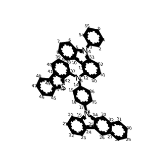 c1ccc(-n2c3ccccc3c3c(N(c4ccc(-n5c6ccccc6c6cc7ccccc7cc65)cc4)c4cccc5c4sc4ccccc45)cccc32)cc1